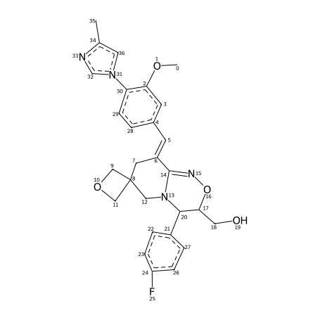 COc1cc(/C=C2\CC3(COC3)CN3C2=NOC(CO)C3c2ccc(F)cc2)ccc1-n1cnc(C)c1